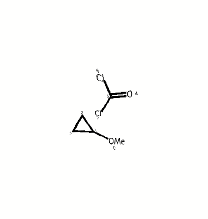 COC1CC1.O=C(Cl)Cl